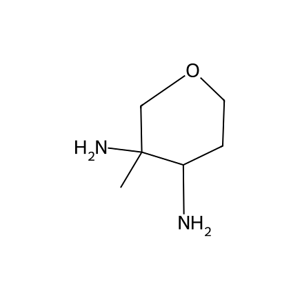 CC1(N)COCCC1N